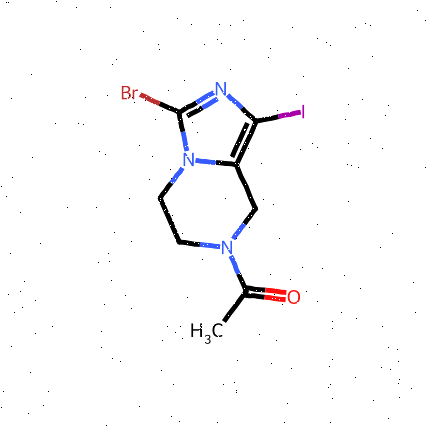 CC(=O)N1CCn2c(Br)nc(I)c2C1